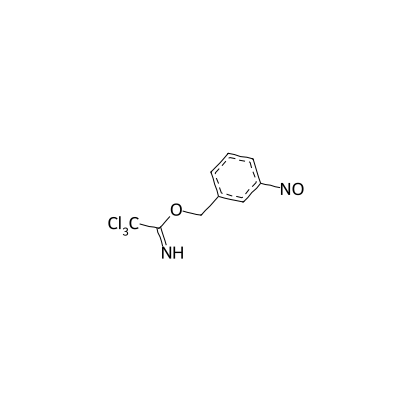 N=C(OCc1cccc(N=O)c1)C(Cl)(Cl)Cl